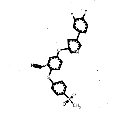 CS(=O)(=O)c1ccc(Sc2ccc(Oc3cncc(-c4ccc(F)c(F)c4)c3)cc2C#N)cc1